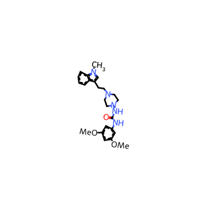 COc1cc(NC(=O)NN2CCN(CCc3cn(C)c4ccccc34)CC2)cc(OC)c1